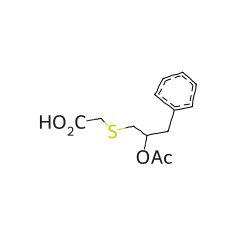 CC(=O)OC(CSCC(=O)O)Cc1ccccc1